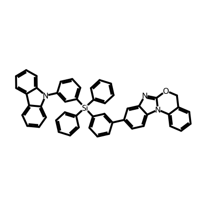 c1ccc([Si](c2ccccc2)(c2cccc(-c3ccc4c(c3)nc3n4-c4ccccc4CO3)c2)c2cccc(-n3c4ccccc4c4ccccc43)c2)cc1